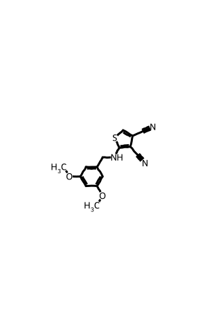 COc1cc(CNc2scc(C#N)c2C#N)cc(OC)c1